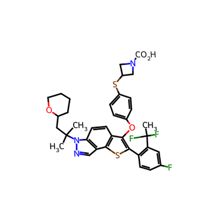 CC(F)(F)c1cc(F)ccc1-c1sc2c(ccc3c2cnn3C(C)(C)CC2CCCCO2)c1Oc1ccc(SC2CN(C(=O)O)C2)cc1